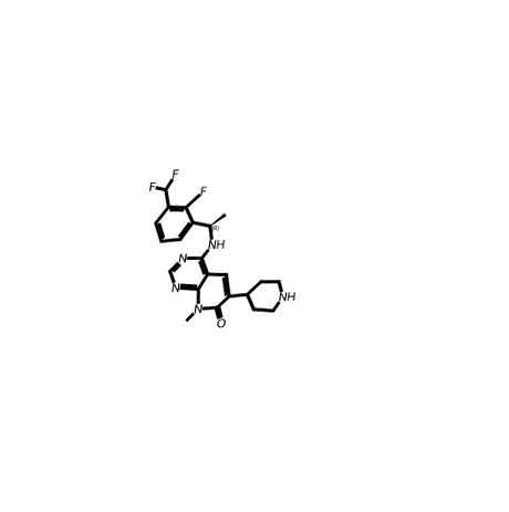 C[C@@H](Nc1ncnc2c1cc(C1CCNCC1)c(=O)n2C)c1cccc(C(F)F)c1F